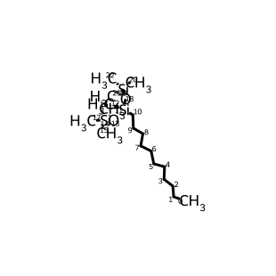 CCCCCCCCCCC[Si](C)(O[Si](C)(C)C)O[Si](C)(C)C